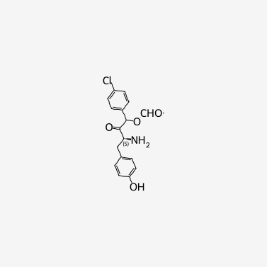 N[C@@H](Cc1ccc(O)cc1)C(=O)C(O[C]=O)c1ccc(Cl)cc1